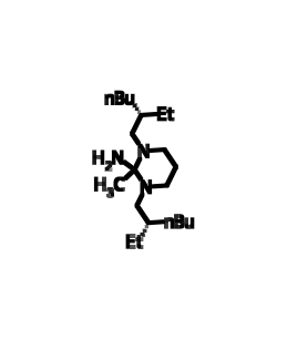 CCCC[C@H](CC)CN1CCCN(C[C@@H](CC)CCCC)C1(C)N